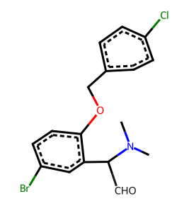 CN(C)C(C=O)c1cc(Br)ccc1OCc1ccc(Cl)cc1